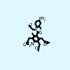 Cc1cc(N)ccc1N(CC1CO1)C(=O)c1c(C)c(CC2CO2)c(N)c(CC2CO2)c1CC1CO1